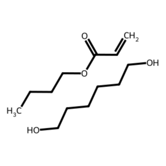 C=CC(=O)OCCCC.OCCCCCCO